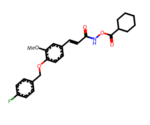 COc1cc(C=CC(=O)NOC(=O)C2CCCCC2)ccc1OCc1ccc(F)cc1